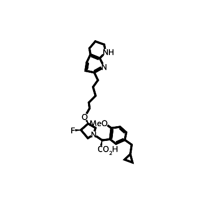 COc1ccc(CC2CC2)cc1[C@@H](C(=O)O)N1C[C@@H](F)[C@@H](OCCCCCc2ccc3c(n2)NCCC3)C1